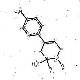 CCC1(C)CC(c2ccc([N+](=O)[O-])cn2)=CC[S+]1[O-]